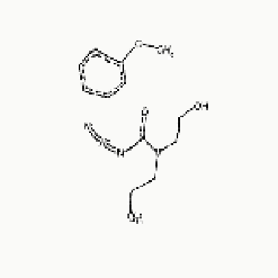 COc1ccccc1.[N-]=[N+]=NC(=O)N(CCO)CCO